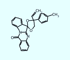 C=CC1(c2ccc(C)cc2)COC2(O1)c1ccccc1-n1c2nc2ccccc2c1=O